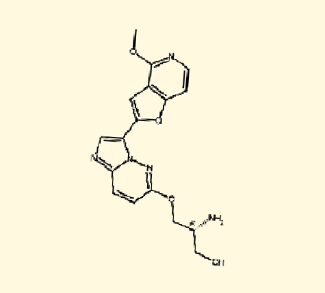 COc1nccc2oc(-c3cnc4ccc(OC[C@H](N)CO)nn34)cc12